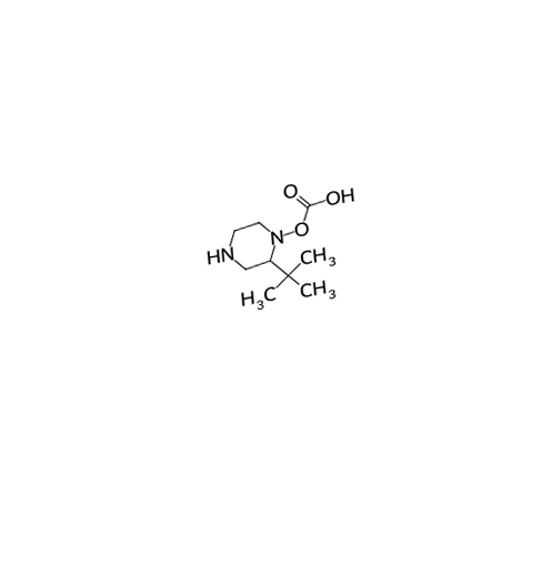 CC(C)(C)C1CNCCN1OC(=O)O